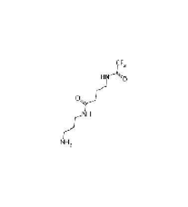 NCCCNC(=O)CCCNC(=O)C(F)(F)F